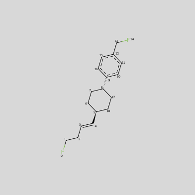 FCCC=C[C@H]1CC[C@H](c2ccc(CF)cc2)CC1